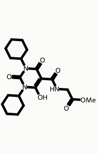 COC(=O)CNC(=O)c1c(O)n(C2CCCCC2)c(=O)n(C2CCCCC2)c1=O